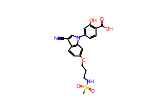 CS(=O)(=O)NCCCOc1ccc2c(C#N)cn(-c3ccc(C(=O)O)c(O)c3)c2c1